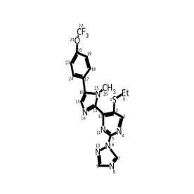 CCSc1cnc(-n2cncn2)nc1-c1ncc(-c2ccc(OC(F)(F)F)cc2)n1C